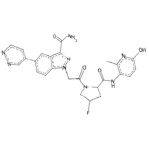 Cc1nc(O)ccc1NC(=O)C1CC(F)CN1C(=O)Cn1nc(C(N)=O)c2cc(-c3ccnnc3)ccc21